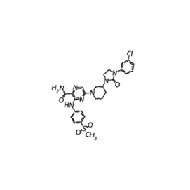 CS(=O)(=O)c1ccc(Nc2nc(N3CCCC(N4CCN(c5cccc(Cl)c5)C4=O)C3)cnc2C(N)=O)cc1